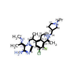 C=N/C(C)=C1/C(N)=NC=CN1CC(C)c1cc(Cl)c(F)c(C(=C)NCC2CCN(C(C)C)C2)c1CC(C)C